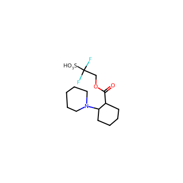 O=C(OCC(F)(F)S(=O)(=O)O)C1CCCCC1N1CCCCC1